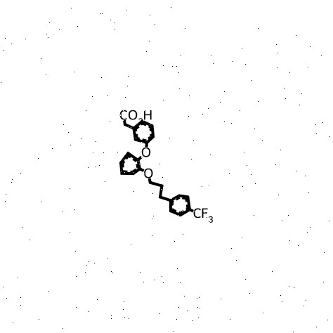 O=C(O)Cc1cccc(Oc2ccccc2OCCCc2ccc(C(F)(F)F)cc2)c1